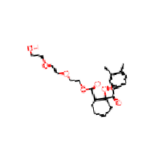 Cc1ccc(C(=O)C2(O)CCCCC2C(=O)OCCOCCOCCO)cc1C